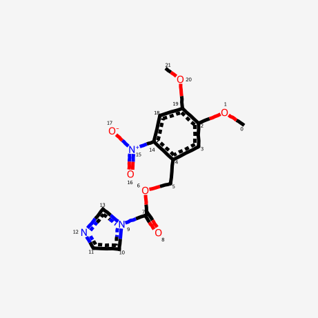 COc1cc(COC(=O)n2ccnc2)c([N+](=O)[O-])cc1OC